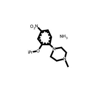 CC(C)Oc1cc([N+](=O)[O-])ccc1N1CCN(C)CC1.N